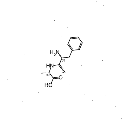 C[C@H](NC(=S)[C@@H](N)Cc1ccccc1)C(=O)O